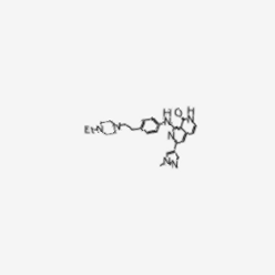 CCN1CCN(CCc2ccc(Nc3nc(-c4cnn(C)c4)cc4cc[nH]c(=O)c34)cc2)CC1